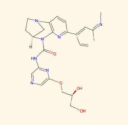 C=C/C(=C\C(C)=N/C)c1ccc2c(n1)N(C(=O)Nc1cncc(OC[C@@H](O)CO)n1)[C@H]1CCN2C1